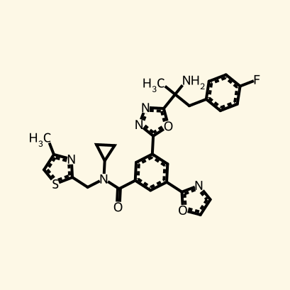 Cc1csc(CN(C(=O)c2cc(-c3ncco3)cc(-c3nnc(C(C)(N)Cc4ccc(F)cc4)o3)c2)C2CC2)n1